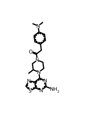 CC1CN(C(=O)Cc2ccc(N(C)C)cc2)CCN1c1nc(N)nc2scnc12